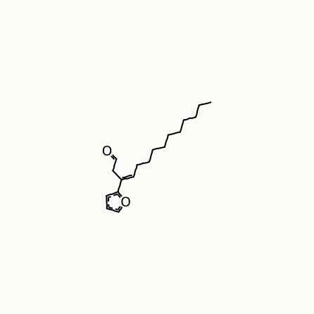 CCCCCCCCCC/C=C(\CC=O)c1ccco1